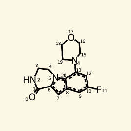 O=C1NCCn2c1cc1cc(F)cc(N3CCOCC3)c12